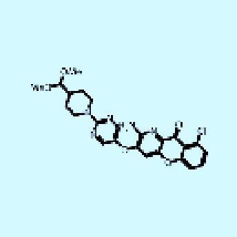 COC(OC)C1CCN(c2ncc(Oc3cc4oc5cccc(Cl)c5c(=O)c4nc3N)cn2)CC1